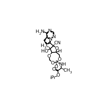 CC(C)OC(=O)[C@H](C)NP1(=O)OCOC2[C@@H](CO1)O[C@@](C#N)(c1ccc3c(N)ncnn13)[C@@]2(C)O